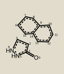 O=c1cc[nH][nH]1.c1ccc2ccccc2c1